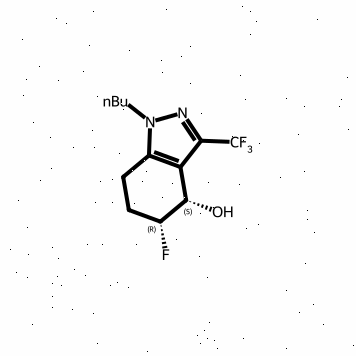 CCCCn1nc(C(F)(F)F)c2c1CC[C@@H](F)[C@H]2O